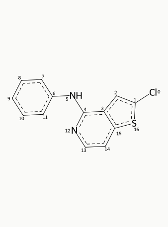 Clc1cc2c(Nc3ccccc3)nccc2s1